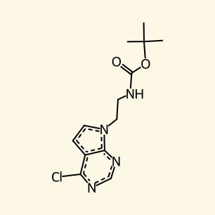 CC(C)(C)OC(=O)NCCn1ccc2c(Cl)ncnc21